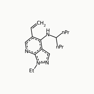 C=Cc1cnc2c(cnn2CC)c1NC(CCC)CCC